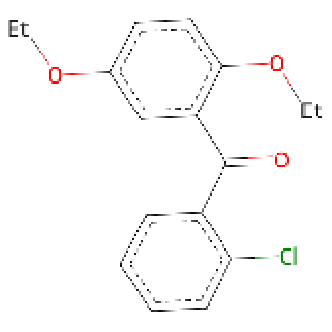 CCOc1ccc(OCC)c(C(=O)c2ccccc2Cl)c1